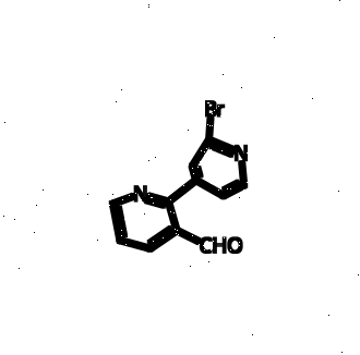 O=Cc1cccnc1-c1ccnc(Br)c1